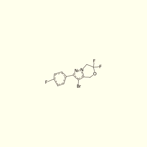 Fc1ccc(-c2nn3c(c2Br)COC(F)(F)C3)cc1